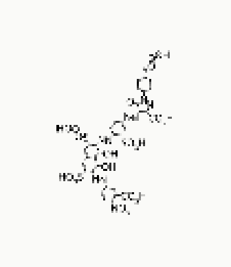 O=C(O)C1=NN(c2ccc(SOOO)cc2)C(=O)C1N=Nc1ccc(N=Nc2c(SOOO)cc3cc(S(=O)(=O)O)c(N=Nc4ccc([N+](=O)[O-])c(C(=O)O)c4)c(O)c3c2O)c(S(=O)(=O)O)c1